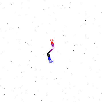 N=CP=O